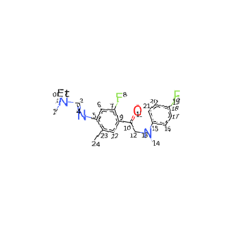 CCN(C)C=Nc1cc(F)c(C(=O)CN(C)c2ccc(F)cc2)cc1C